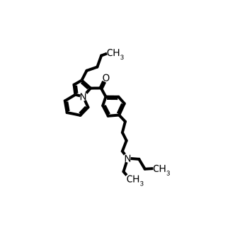 CCCCc1cc2ccccn2c1C(=O)c1ccc(CCCCN(CC)CCC)cc1